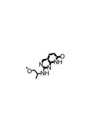 COCC(C)Nc1ncc2ccc(=O)[nH]c2n1